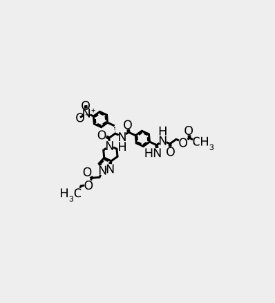 CCOC(=O)Cn1cc2c(n1)CCN(C(=O)[C@H](Cc1ccc([N+](=O)[O-])cc1)NC(=O)c1ccc(C(=N)NC(=O)COC(C)=O)cc1)C2